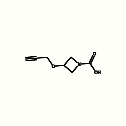 C#CCOC1CN(C(=O)O)C1